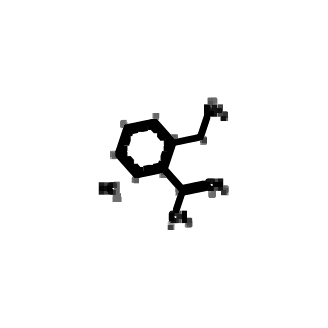 C=C(C)c1ccccc1CN.Cl